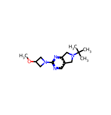 COC1CN(c2ncc3c(n2)CN(C(C)(C)C)C3)C1